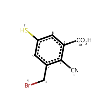 N#Cc1c(CBr)cc(S)cc1C(=O)O